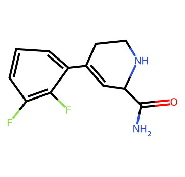 NC(=O)C1C=C(c2cccc(F)c2F)CCN1